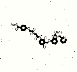 CNC(=O)c1ccc(OCC(=O)NCC(=O)N(C)c2ccc(Cl)c(COc3cccc4c3nc(OC)n4Cc3ccccn3)c2Cl)cc1